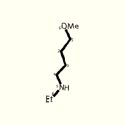 [CH2]OCCCCNCC